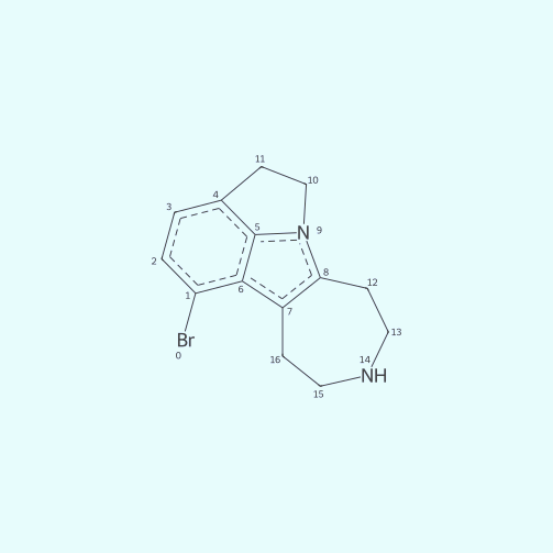 Brc1ccc2c3c1c1c(n3CC2)CCNCC1